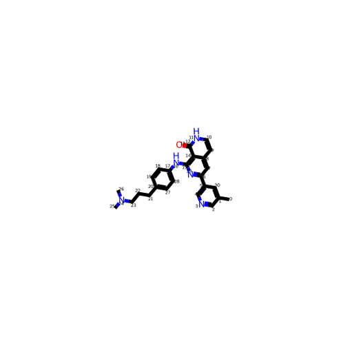 Cc1cncc(-c2cc3cc[nH]c(=O)c3c(Nc3ccc(CCCN(C)C)cc3)n2)c1